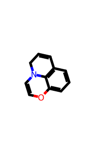 C1=Cc2cccc3c2N(C=CO3)C1